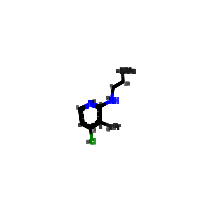 CCCc1c(Cl)ccnc1NCCNC